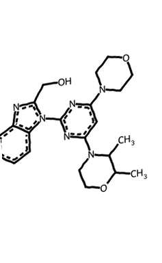 CC1OCCN(c2cc(N3CCOCC3)nc(-n3c(CO)nc4ccccc43)n2)C1C